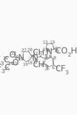 CN(Cc1ccc(C(F)(F)F)cc1N1CCC[C@H]1C(=O)O)C1(C)CCN(C(=O)OC(C(F)(F)F)C(F)(F)F)CC1